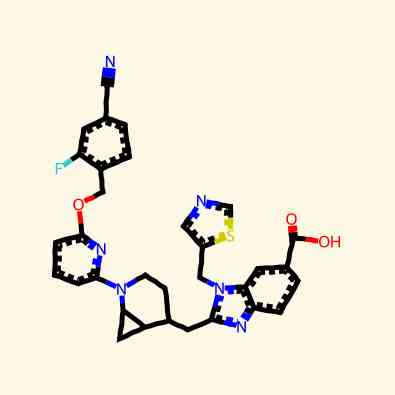 N#Cc1ccc(COc2cccc(N3CCC(Cc4nc5ccc(C(=O)O)cc5n4Cc4cncs4)C4CC43)n2)c(F)c1